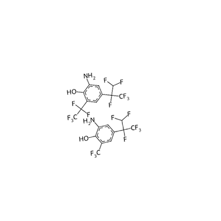 Nc1cc(C(F)(C(F)F)C(F)(F)F)cc(C(F)(F)C(F)(F)F)c1O.Nc1cc(C(F)(C(F)F)C(F)(F)F)cc(C(F)(F)F)c1O